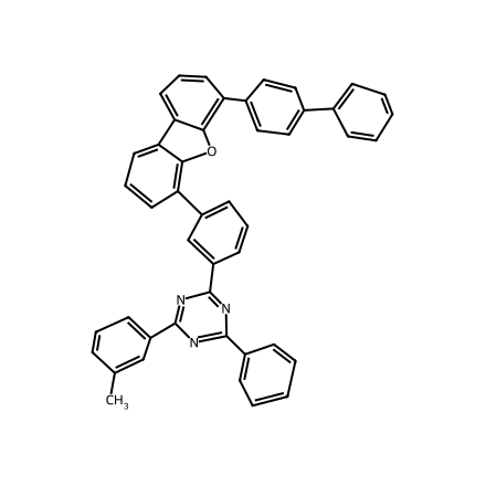 Cc1cccc(-c2nc(-c3ccccc3)nc(-c3cccc(-c4cccc5c4oc4c(-c6ccc(-c7ccccc7)cc6)cccc45)c3)n2)c1